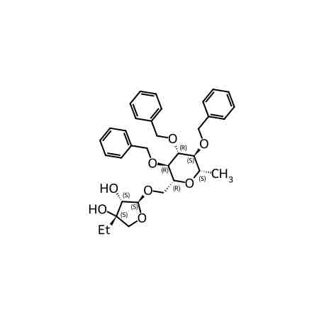 CC[C@]1(O)CO[C@H](OC[C@H]2O[C@@H](C)[C@H](OCc3ccccc3)[C@@H](OCc3ccccc3)[C@@H]2OCc2ccccc2)[C@H]1O